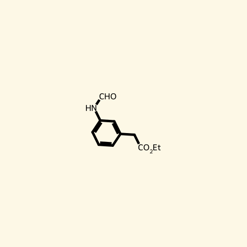 CCOC(=O)Cc1cccc(NC=O)c1